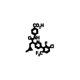 CC1CC1CC(C(=O)Nc1ccc(C(=O)O)cc1)c1ccc(-c2c(C(F)(F)F)ccc(Cl)c2F)cn1